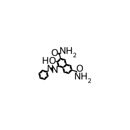 NC(=O)c1ccc2c(/N=N/c3ccccc3)c(O)c(C(N)=O)cc2c1